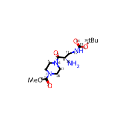 COC(=O)N1CCN(C(=O)[C@@H](N)CNC(=O)OC(C)(C)C)CC1